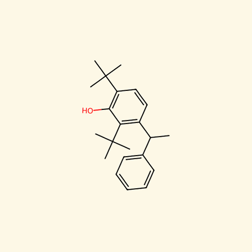 CC(c1ccccc1)c1ccc(C(C)(C)C)c(O)c1C(C)(C)C